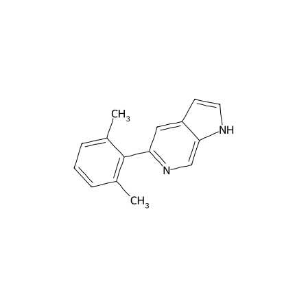 Cc1cccc(C)c1-c1cc2cc[nH]c2cn1